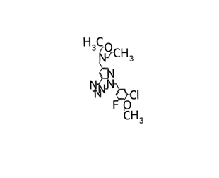 CCOc1c(F)cc(CN2Cn3ncnc3-c3cc(CN4C[C@@H](C)O[C@@H](C)C4)cnc32)cc1Cl